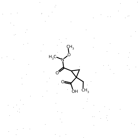 CCC1(C(=O)O)CC1C(=O)N(C)OC